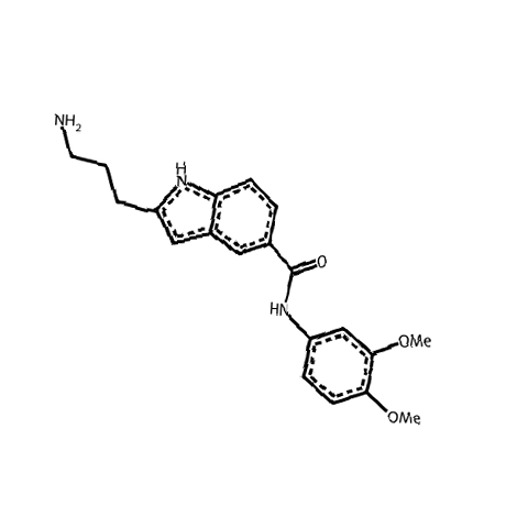 COc1ccc(NC(=O)c2ccc3[nH]c(CCCN)cc3c2)cc1OC